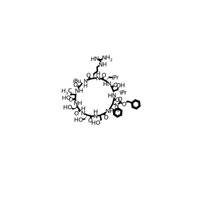 CC[C@H](C)[C@@H]1NC(=O)[C@@H](CCCNC(=N)N)NC(=O)[C@H](CC(C)C)NC(=O)[C@H]([C@H](O)C(C)C)NC(=O)[C@@H](NC(=O)OCc2ccccc2)[C@@H](c2ccccc2)NC(=O)C(CO)NC(=O)[C@H](CO)NC(=O)[C@@H](CO)NC(=O)[C@H]([C@H](C)O)NC1=O